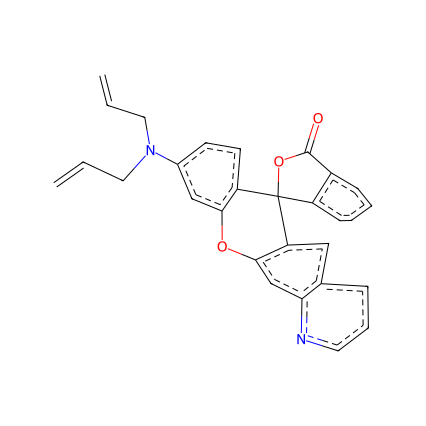 C=CCN(CC=C)c1ccc2c(c1)Oc1cc3ncccc3cc1C21OC(=O)c2ccccc21